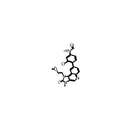 COCCn1c(=O)n(C)c2cnc3ccc(-c4ccc(NC=O)cc4Cl)cc3c21